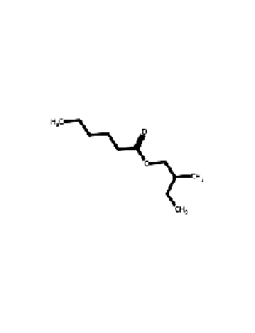 CCCCCC(=O)OCC(C)CC